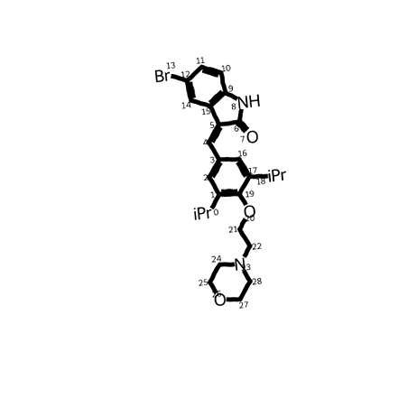 CC(C)c1cc(/C=C2\C(=O)Nc3ccc(Br)cc32)cc(C(C)C)c1OCCN1CCOCC1